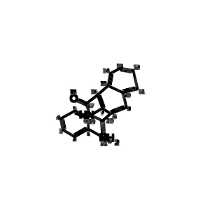 Nc1ccccc1-c1c2cc3ccccc3c1C(=O)NC2=O